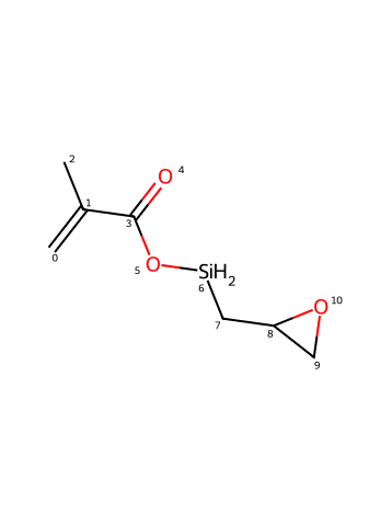 C=C(C)C(=O)O[SiH2]CC1CO1